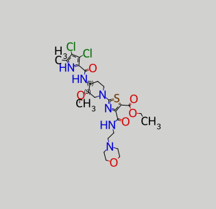 CCOC(=O)c1sc(N2CC[C@@H](NC(=O)c3[nH]c(C)c(Cl)c3Cl)[C@@H](OC)C2)nc1C(=O)NCCN1CCOCC1